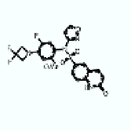 COc1cc(N2CC(F)(F)C2)c(F)cc1N(c1ccon1)S(=O)(=O)c1ccc2[nH]c(=O)ccc2c1